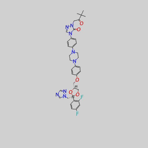 CC(C)(C)C(=O)Cn1ncn(-c2ccc(N3CCN(c4ccc(OC[C@@H]5CO[C@@](Cn6cncn6)(c6ccc(F)cc6F)O5)cc4)CC3)cc2)c1=O